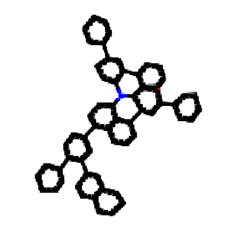 c1ccc(-c2ccc(N(c3ccc(-c4ccc(-c5ccccc5)c(-c5ccc6ccccc6c5)c4)cc3)c3ccc(-c4ccccc4)cc3-c3ccccc3)c(-c3ccccc3)c2)cc1